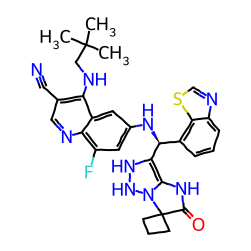 CC(C)(C)CNc1c(C#N)cnc2c(F)cc(N[C@H](C3=C4NC(=O)C5(CCC5)N4NN3)c3cccc4ncsc34)cc12